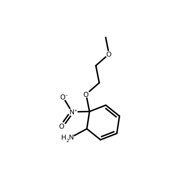 COCCOC1([N+](=O)[O-])C=CC=CC1N